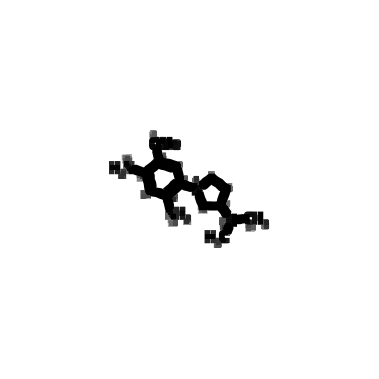 COc1cc(N2CCC(N(C)C)C2)c(N)cc1N